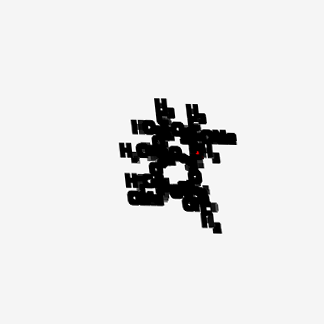 C=C[Si]1(O)O[Si](C)(OC)O[Si]2(C=C)O[Si](C)(O)O[Si](C)(OC)O[Si](C)(O1)O2